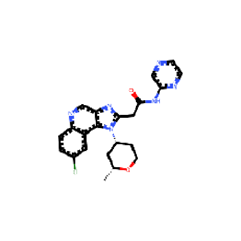 C[C@@H]1C[C@H](n2c(CC(=O)Nc3cnccn3)nc3cnc4ccc(Cl)cc4c32)CCO1